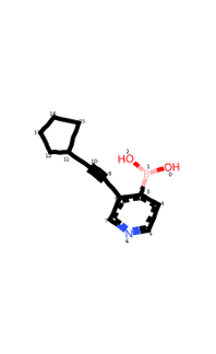 OB(O)c1ccncc1C#CC1CCCC1